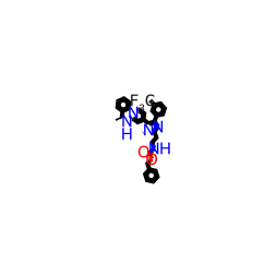 C[C@H](Nc1cc(-c2c(-c3cccc(C(F)(F)F)c3)nc(CCNC(=O)OCc3ccccc3)n2C)ccn1)c1ccccc1